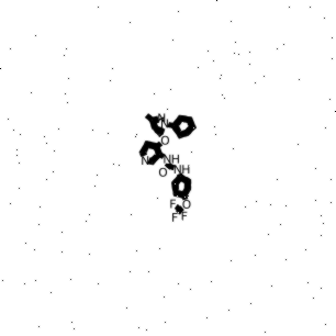 Cc1cc(Oc2ccncc2NC(=O)Nc2ccc(OC(F)(F)F)cc2)n(-c2ccccc2)n1